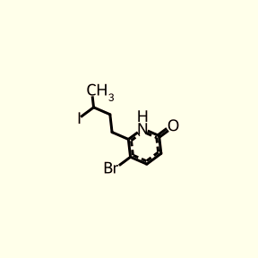 CC(I)CCc1[nH]c(=O)ccc1Br